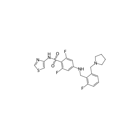 O=S(=O)(Nc1cscn1)c1c(F)cc(NCc2c(F)cccc2CN2CCCC2)cc1F